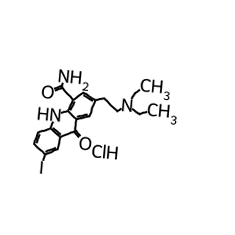 CCN(CC)CCc1cc(C(N)=O)c2[nH]c3ccc(I)cc3c(=O)c2c1.Cl